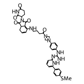 CSc1ccc(-c2ccc/c(=N/C(=N)Nc3ccc(N4CN(C(=O)CCCNC5=C6C(=O)N(C7CCC(=O)NC7=O)C(=O)C6CC=C5)C4)cc3)[nH]2)cc1